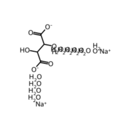 O.O.O.O.O.O.O.O.O.O.O=C([O-])C(O)C(O)C(=O)[O-].[Na+].[Na+]